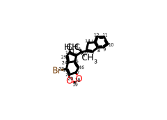 CC1=C(C(C)(C)C2=Cc3ccccc3C2)C2=CC3OCOC3=C(Br)C2=C1